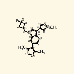 Cc1noc(C)c1-c1cnc2c(-c3cnn(C)c3)cn(CC3CC(F)(F)C3)c2c1